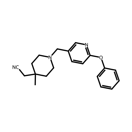 CC1(CC#N)CCN(Cc2ccc(Oc3ccccc3)nc2)CC1